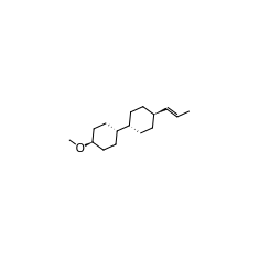 CC=C[C@H]1CC[C@H]([C@H]2CC[C@H](OC)CC2)CC1